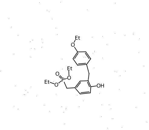 CCOc1ccc(Cc2cc(CP(=O)(OCC)OCC)ccc2O)cc1